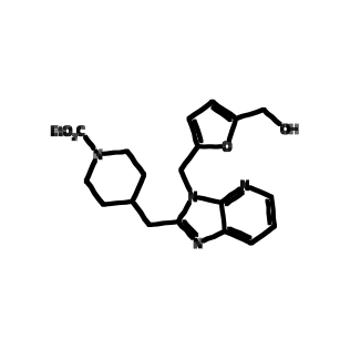 CCOC(=O)N1CCC(Cc2nc3cccnc3n2Cc2ccc(CO)o2)CC1